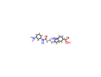 CN(C)c1cccc(NC(=O)CCCc2cc3cc(C(=O)O)ccc3[nH]2)c1